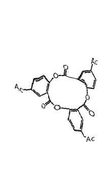 CC(=O)c1ccc2c(c1)C(=O)Oc1ccc(C(C)=O)cc1C(=O)Oc1ccc(C(C)=O)cc1C(=O)O2